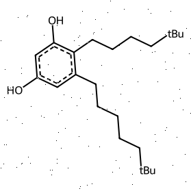 CC(C)(C)CCCCCc1cc(O)cc(O)c1CCCCC(C)(C)C